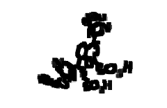 CC(C)(C)Oc1cncc(C(SCCS(=O)(=O)O)C2CCCC(C(SCCS(=O)(=O)O)c3cncc(OC(C)(C)C)n3)C2=O)n1